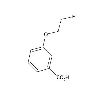 O=C(O)c1cccc(OCCF)c1